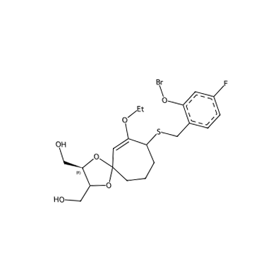 CCOC1=CC2(CCCC1SCc1ccc(F)cc1OBr)OC(CO)[C@@H](CO)O2